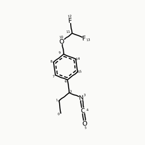 CCC(N=C=O)c1ccc(OC(F)F)cc1